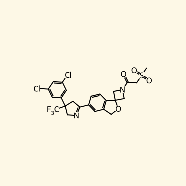 CS(=O)(=O)CC(=O)N1CC2(C1)OCc1cc(C3=NCC(c4cc(Cl)cc(Cl)c4)(C(F)(F)F)C3)ccc12